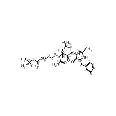 CC(=O)N[C@@H](Cc1ccccc1)C(=O)N[C@@H](CC(C)C)C(=O)N[C@@H](CCCCNC(=O)OC(C)(C)C)C(N)=O